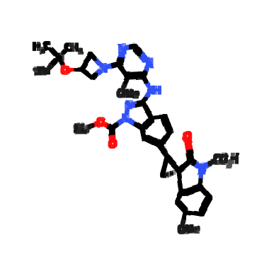 COc1ccc2c(c1)[C@]1(C[C@H]1c1ccc3c(Nc4ncnc(N5CC(O[Si](C)(C)C(C)(C)C)C5)c4OC)nn(C(=O)OC(C)(C)C)c3c1)C(=O)N2C(=O)O